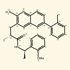 COc1ccccc1[C@@H](C)NC(=O)[C@H](C)Cc1cc2cc(-c3ccccc3C)ccc2nc1N